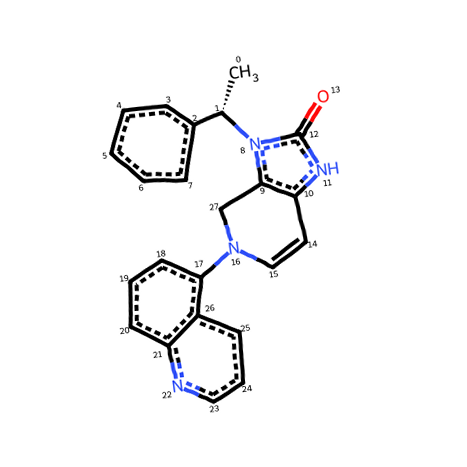 C[C@@H](c1ccccc1)n1c2c([nH]c1=O)C=CN(c1cccc3ncccc13)C2